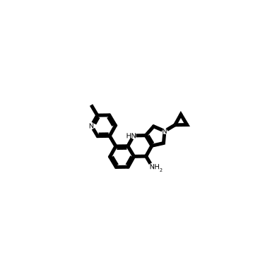 Cc1ccc(-c2cccc3c2NC2=C(CN(C4CC4)C2)C3N)cn1